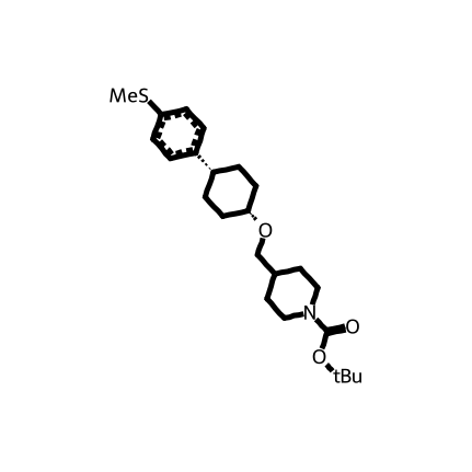 CSc1ccc([C@H]2CC[C@@H](OCC3CCN(C(=O)OC(C)(C)C)CC3)CC2)cc1